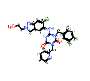 O=c1nc(Nc2cc3cn(CCO)nc3cc2Cl)n(Cc2cc(F)c(F)cc2F)c(=O)n1Cc1ccccn1